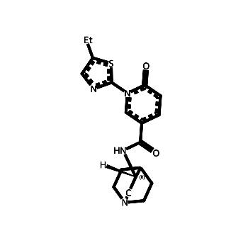 CCc1cnc(-n2cc(C(=O)N[C@H]3CN4CCC3CC4)ccc2=O)s1